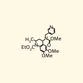 CCOC(=O)N1c2cc(OC)c(OC)cc2C(N(Cc2cccnc2)C(=O)OC)CC1C